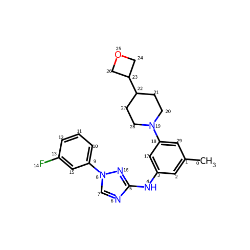 Cc1cc(Nc2ncn(-c3cccc(F)c3)n2)cc(N2CCC(C3COC3)CC2)c1